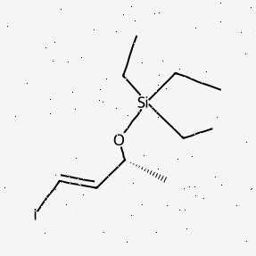 CC[Si](CC)(CC)O[C@H](C)/C=C/I